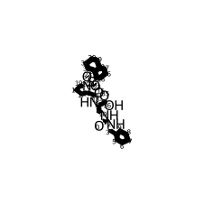 O=C(NCc1ccccc1)NCC(NC(=O)C1CCCN1S(=O)(=O)c1cccc2ccccc12)C(=O)O